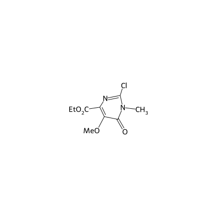 CCOC(=O)c1nc(Cl)n(C)c(=O)c1OC